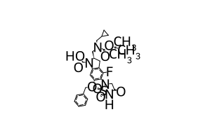 CC(C)(C)OC(=O)N(CC1CC1)C[C@H]1Cc2c(cc(OCc3ccccc3)c(N3CC(=O)NS3(=O)=O)c2F)N1C(=O)O